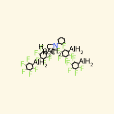 CCN(CC)c1ccccc1.Fc1c(F)c(F)[c]([AlH2])c(F)c1F.Fc1c(F)c(F)[c]([AlH2])c(F)c1F.Fc1c(F)c(F)[c]([AlH2])c(F)c1F.Fc1c(F)c(F)[c]([AlH2])c(F)c1F